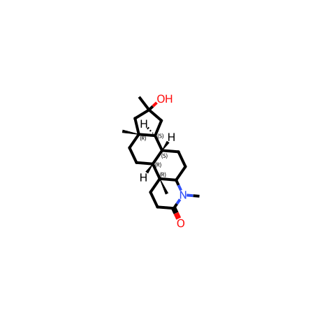 CN1C(=O)CC[C@@]2(C)C1CC[C@@H]1[C@H]2CC[C@]2(C)CC(C)(O)C[C@@H]12